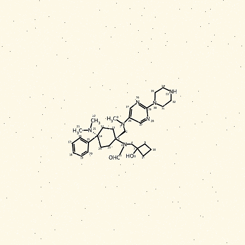 CN(C[C@]1(N(C=O)CC2(O)CCC2)CC[C@@](c2ccccc2)(N(C)C)CC1)c1cnc(N2CCNCC2)nc1